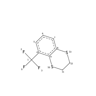 FC(F)(F)c1cccc2c1SCCS2